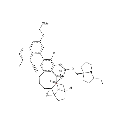 C#Cc1c(F)ccc2cc(OCOC)cc(-c3nc4c5c(nc(OC[C@@]67CCCN6[C@H](CF)CC7)nc5c3F)N3C[C@H]5CC[C@@H]([C@H]3CCC4)N5C(=O)OC(C)(C)C)c12